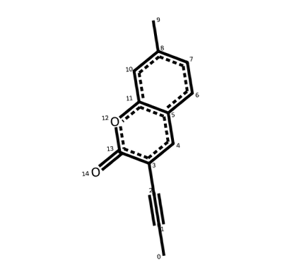 CC#Cc1cc2ccc(C)cc2oc1=O